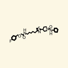 O=C(COCc1ccc(F)cc1)NCCCCCc1csc(C2CCN(C(=O)Nc3ccccc3)CC2)n1